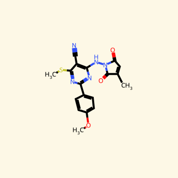 COc1ccc(-c2nc(NN3C(=O)C=C(C)C3=O)c(C#N)c(SC)n2)cc1